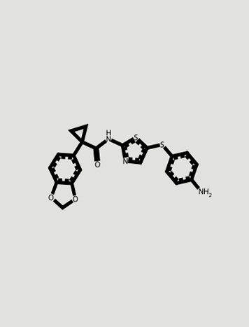 Nc1ccc(Sc2cnc(NC(=O)C3(c4ccc5c(c4)OCO5)CC3)s2)cc1